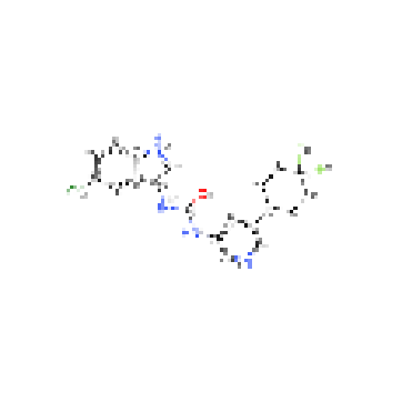 O=C(Nc1cncc(C2CCC(F)(F)CC2)c1)Nc1c[nH]c2ccc(Cl)cc12